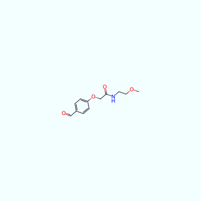 COCCNC(=O)COc1ccc(C=O)cc1